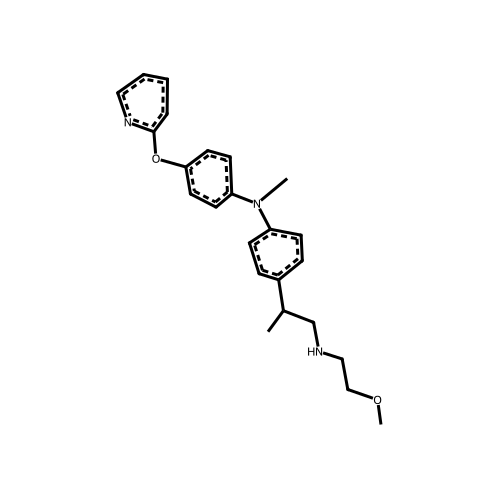 COCCNCC(C)c1ccc(N(C)c2ccc(Oc3ccccn3)cc2)cc1